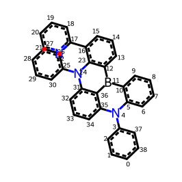 c1ccc(N2c3ccccc3B3c4cccc(-c5ccccn5)c4N(c4ccccc4)c4cccc2c43)cc1